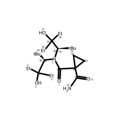 CCC(O)(CC)[C@H](N(C(=O)C1(C(N)=O)CC1)[C@H](C(C)(C)C)C(O)(CC)CC)C(C)(C)C